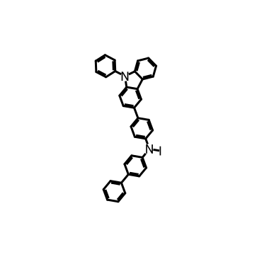 IN(c1ccc(-c2ccccc2)cc1)c1ccc(-c2ccc3c(c2)c2ccccc2n3-c2ccccc2)cc1